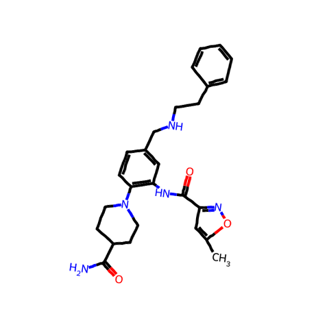 Cc1cc(C(=O)Nc2cc(CNCCc3ccccc3)ccc2N2CCC(C(N)=O)CC2)no1